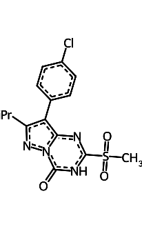 CC(C)c1nn2c(=O)[nH]c(S(C)(=O)=O)nc2c1-c1ccc(Cl)cc1